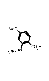 COc1ccc(C(=O)O)c(N=[N+]=[N-])c1